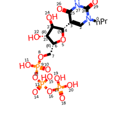 CCCn1cc([C@@H]2O[C@H](COP(=O)(O)OP(=O)(O)OP(=O)(O)O)[C@H](O)C2O)c(=O)[nH]c1=O